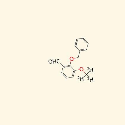 [2H]C([2H])([2H])Oc1cccc(C=O)c1OCc1ccccc1